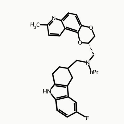 CCCN(CC1CCc2[nH]c3ccc(F)cc3c2C1)C[C@H]1COc2ccc3nc(C)ccc3c2O1